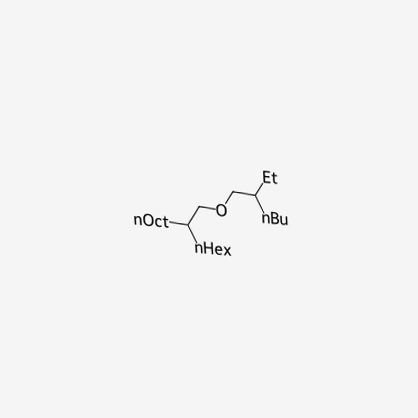 CCCCCCCCC(CCCCCC)COCC(CC)CCCC